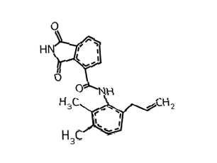 C=CCc1ccc(C)c(C)c1NC(=O)c1cccc2c1C(=O)NC2=O